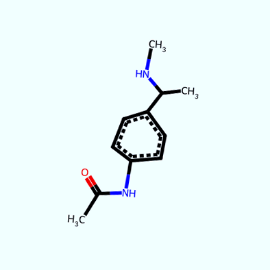 CNC(C)c1ccc(NC(C)=O)cc1